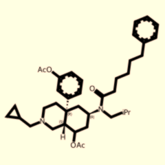 CC(=O)Oc1cccc([C@@]23CCN(CC4CC4)C[C@H]2C(OC(C)=O)C[C@H](N(CC(C)C)C(=O)CCCCCc2ccccc2)C3)c1